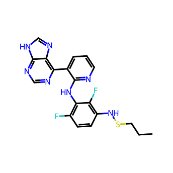 CCCSNc1ccc(F)c(Nc2ncccc2-c2ncnc3[nH]cnc23)c1F